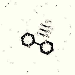 O=[N+]([O-])[O-].O=[N+]([O-])[O-].O=[N+]([O-])[O-].[Cr+3].c1ccc(-c2ccccn2)nc1